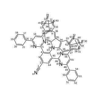 N#Cc1cc(-c2nc(-c3ccccc3)cc(-c3ccccc3)n2)c(-n2c3ccc(C(F)(F)F)cc3c3cc(C(F)(F)F)ccc32)c(-c2nc(-c3ccccc3)cc(-c3ccccc3)n2)c1